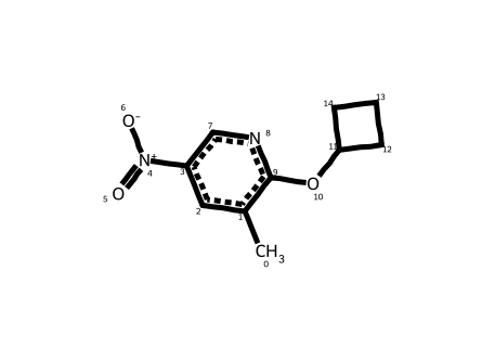 Cc1cc([N+](=O)[O-])cnc1OC1CCC1